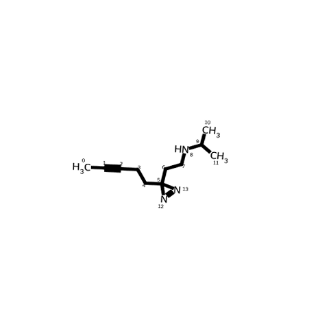 CC#CCCC1(CCNC(C)C)N=N1